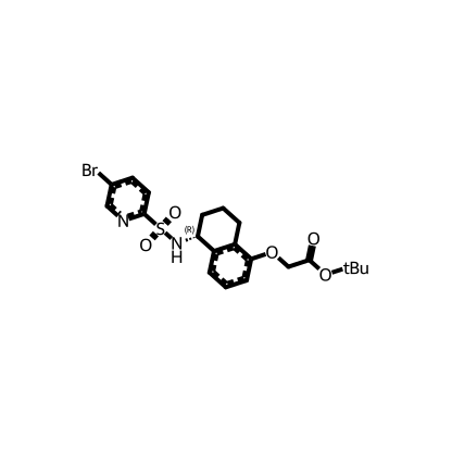 CC(C)(C)OC(=O)COc1cccc2c1CCC[C@H]2NS(=O)(=O)c1ccc(Br)cn1